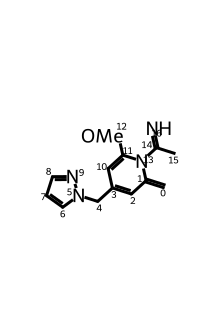 C=C1C=C(Cn2cccn2)C=C(OC)N1C(C)=N